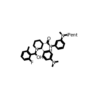 CCCC(C)N(C)c1cccc(NC(=O)[C@H]2CCCN(C(O)c3c(C)cccc3F)[C@H]2c2ccc(N(C)C)cc2)c1